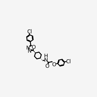 O=C(COc1ccc(Cl)cc1)NC[C@H]1CC[C@H](c2nnc(-c3ccc(Cl)cc3)o2)CC1